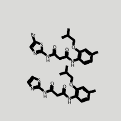 Cc1ccc(NC(=O)CC(=O)Nc2ncc(Br)s2)c(OCC(C)C)c1.Cc1ccc(NC(=O)CC(=O)Nc2nccs2)c(OCC(C)C)c1